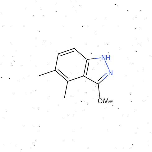 COc1n[nH]c2ccc(C)c(C)c12